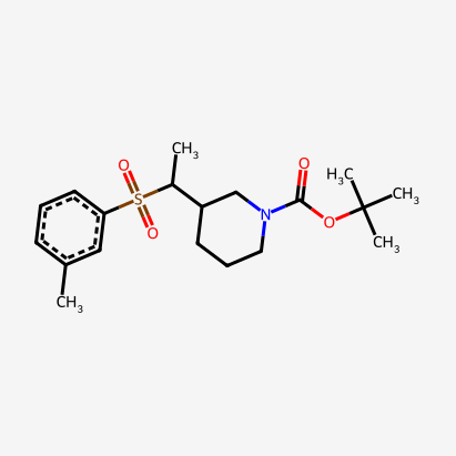 Cc1cccc(S(=O)(=O)C(C)C2CCCN(C(=O)OC(C)(C)C)C2)c1